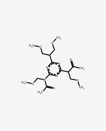 COCC(COC)c1nc(C(COC)C(C)=O)nc(N(COC)C(C)=O)n1